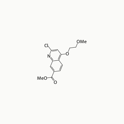 COCCOc1cc(Cl)nc2cc(C(=O)OC)ccc12